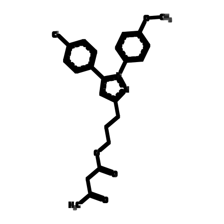 COc1ccc(-n2nc(CCCOC(=O)CC(C)=O)cc2-c2ccc(Cl)cc2)cc1